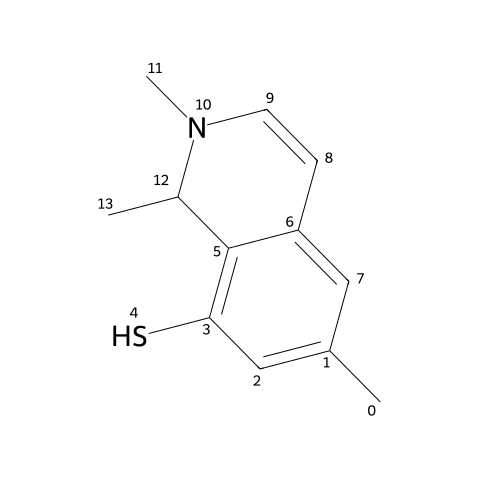 Cc1cc(S)c2c(c1)C=CN(C)C2C